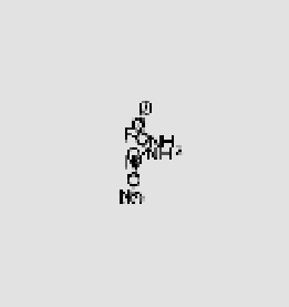 COCCOc1cc(N)c(C(=N)c2cc(-c3ccc(C(=O)N(C)C)cc3)no2)cc1F